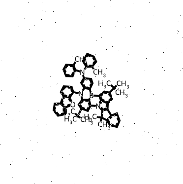 Cc1ccccc1N(c1ccc2c(c1)N(c1cccc3c1oc1ccccc13)c1cc(C(C)(C)C)cc3c1B2c1cc(C(C)(C)C)cc2c4c(n-3c12)C(C)(C)c1ccccc1-4)c1ccccc1C